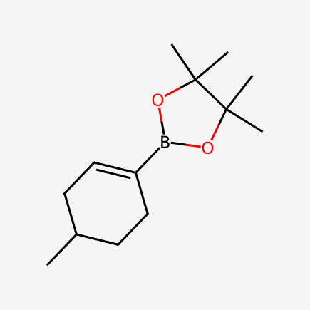 CC1CC=C(B2OC(C)(C)C(C)(C)O2)CC1